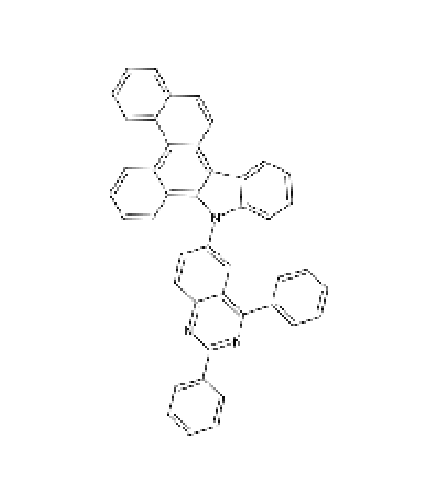 c1ccc(-c2nc(-c3ccccc3)c3cc(-n4c5ccccc5c5c6ccc7ccccc7c6c6ccccc6c54)ccc3n2)cc1